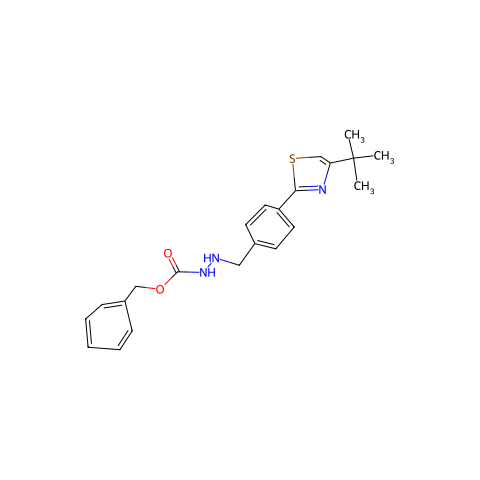 CC(C)(C)c1csc(-c2ccc(CNNC(=O)OCc3ccccc3)cc2)n1